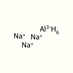 [AlH6-3].[Na+].[Na+].[Na+]